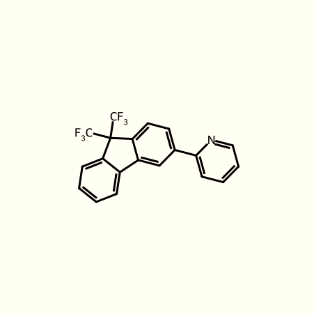 FC(F)(F)C1(C(F)(F)F)c2ccccc2-c2cc(-c3ccccn3)ccc21